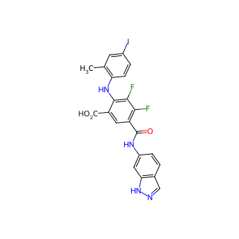 Cc1cc(I)ccc1Nc1c(C(=O)O)cc(C(=O)Nc2ccc3cn[nH]c3c2)c(F)c1F